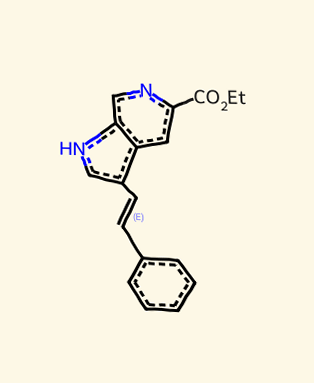 CCOC(=O)c1cc2c(/C=C/c3ccccc3)c[nH]c2cn1